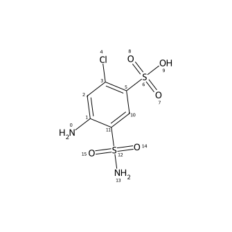 Nc1cc(Cl)c(S(=O)(=O)O)cc1S(N)(=O)=O